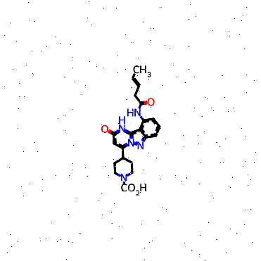 CC=CCC(=O)Nc1cccc2nn3c(C4CCN(C(=O)O)CC4)cc(=O)[nH]c3c12